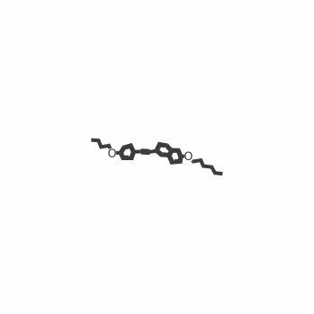 CCCCCCOc1ccc2cc(C#Cc3ccc(OCCCC)cc3)ccc2c1